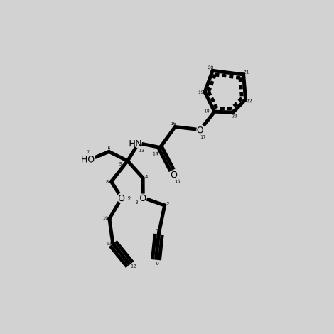 C#CCOCC(CO)(COCC#C)NC(=O)COc1ccccc1